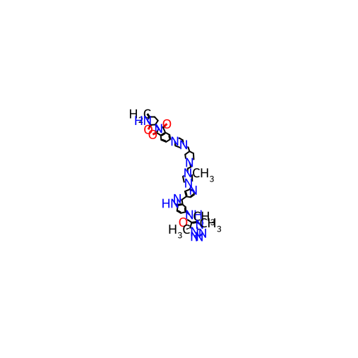 C=C1CCC(N2C(=O)c3ccc(N4CCN(CC5CCN(CCN6CCN(c7cc(-c8n[nH]c9ccc(NC(=O)C%10=C(C)N(C)c%11nnnn%11[C@H]%10C)cc89)ccn7)C[C@@H]6C)CC5)CC4)cc3C2=O)C(=O)N1